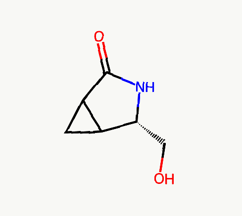 O=C1N[C@H](CO)C2CC12